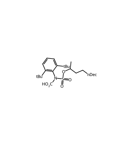 CCCCCCCCCCCCC(C)OS(=O)(=O)N(C(=O)O)c1c(C(C)(C)C)cccc1C(C)(C)C